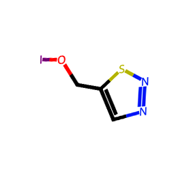 IOCc1cnns1